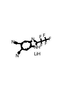 N#Cc1cc2nc(C(F)(F)C(F)(F)F)[nH]c2cc1C#N.[LiH]